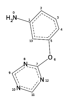 Nc1cccc(Oc2ncncn2)c1